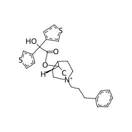 O=C(O[C@H]1C[N+]2(CCCc3ccccc3)CCC1CC2)C(O)(c1ccsc1)c1ccsc1